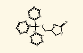 O=C1NC(COC(c2ccccc2)(c2ccccc2)c2ccccc2)CO1